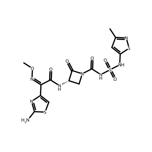 CO/N=C(\C(=O)N[C@H]1CN(C(=O)NS(=O)(=O)Nc2cc(C)ns2)C1=O)c1csc(N)n1